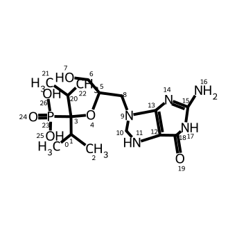 CC(C)C(OC(CO)CN1CNc2c1nc(N)[nH]c2=O)(C(C)C)P(=O)(O)O